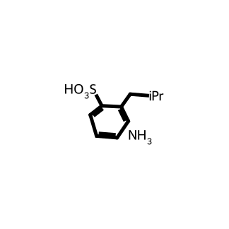 CC(C)Cc1ccccc1S(=O)(=O)O.N